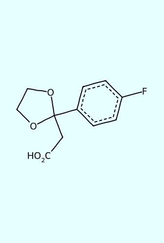 O=C(O)CC1(c2ccc(F)cc2)OCCO1